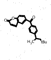 CC(CC(C)(C)C)c1ccc(C(=O)c2ccc3oc(=O)ccc3c2)cc1